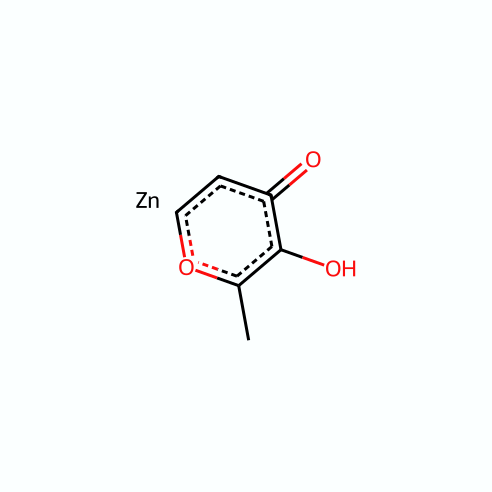 Cc1occc(=O)c1O.[Zn]